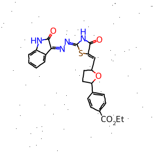 CCOC(=O)c1ccc(C2CCC(/C=C3\S/C(=N\N=C4/C(=O)Nc5ccccc54)NC3=O)O2)cc1